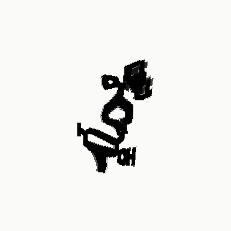 CCN(CC)C(=O)C1CCN(Cc2cc(I)cc(I)c2O)CC1